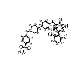 CS(=O)(=O)c1ccc(CN2CC=C(c3ccc(C[C@H](NC(=O)c4c(Cl)cccc4Cl)C(=O)O)cc3)CC2)cc1